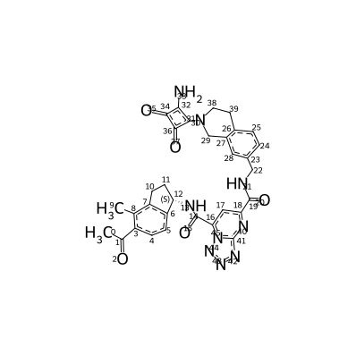 CC(=O)c1ccc2c(c1C)CC[C@@H]2NC(=O)c1cc(C(=O)NCc2ccc3c(c2)CN(c2c(N)c(=O)c2=O)CC3)nc2nnnn12